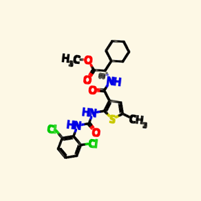 COC(=O)[C@@H](NC(=O)c1cc(C)sc1NC(=O)Nc1c(Cl)cccc1Cl)C1CCCCC1